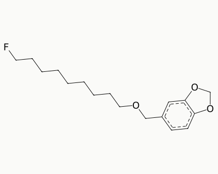 FCCCCCCCCCOCc1ccc2c(c1)OCO2